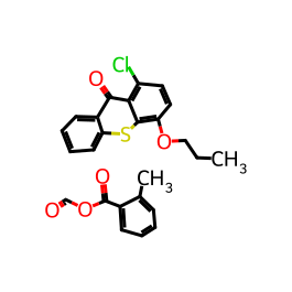 CCCOc1ccc(Cl)c2c(=O)c3ccccc3sc12.Cc1ccccc1C(=O)OC=O